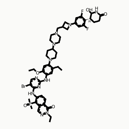 CCOc1cc(N2CCC(N3CCN(CC4CN(c5cc(F)c([C@H]6CCC(=O)NC6O)c(F)c5)C4)CC3)CC2)c(CC)cc1Nc1ncc(Br)c(Nc2ccc3c(=O)n(CC)ncc3c2P(C)(C)=O)n1